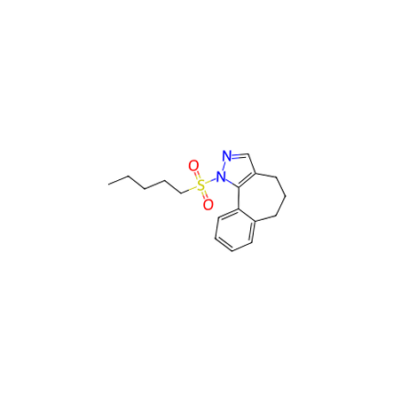 CCCCCS(=O)(=O)n1ncc2c1-c1ccccc1CCC2